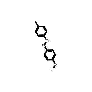 CCOc1ccc([Te][Te]c2ccc(C)cc2)cc1